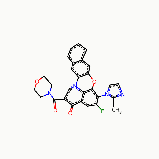 Cc1nccn1-c1c(F)cc2c(=O)c(C(=O)N3CCOCC3)cn3c2c1Oc1cc2ccccc2cc1-3